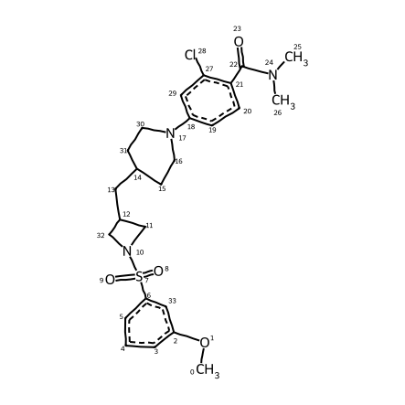 COc1cccc(S(=O)(=O)N2CC(CC3CCN(c4ccc(C(=O)N(C)C)c(Cl)c4)CC3)C2)c1